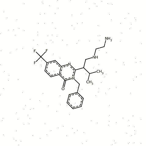 CC(C)C(CNCCN)c1nc2cc(C(F)(F)F)ccc2c(=O)n1Cc1ccccc1